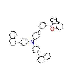 Cc1c(-c2cccc(-c3ccc(N(c4ccc(-c5cccc6ccccc56)cc4)c4ccc(-c5cccc6ccccc56)cc4)cc3)c2)oc2ccccc12